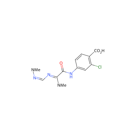 CN/N=C\N=C(/NC)C(=O)Nc1ccc(C(=O)O)c(Cl)c1